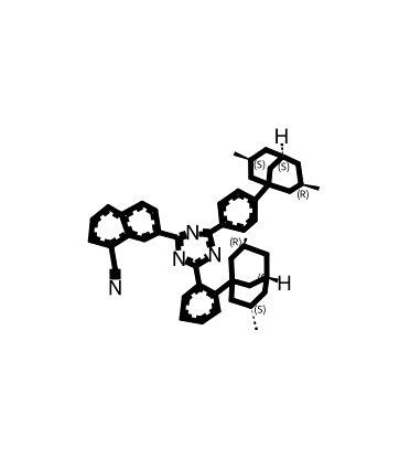 C[C@@H]1C[C@@H]2C[C@H](C)CC(c3ccc(-c4nc(-c5ccc6cccc(C#N)c6c5)nc(-c5ccccc5C56C[C@H](C)C[C@H](C[C@H](C)C5)C6)n4)cc3)(C1)C2